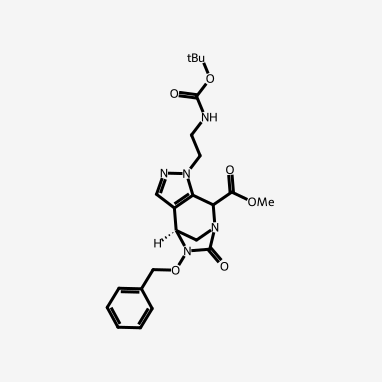 COC(=O)C1c2c(cnn2CCNC(=O)OC(C)(C)C)[C@H]2CN1C(=O)N2OCc1ccccc1